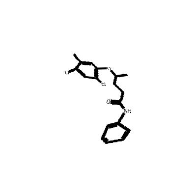 Cc1cc(OC(C)CCC(=O)Nc2ccccc2)c(Cl)cc1Cl